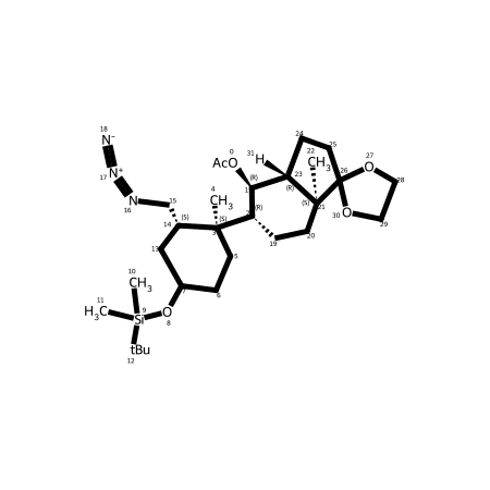 CC(=O)O[C@@H]1[C@@H]([C@@]2(C)CCC(O[Si](C)(C)C(C)(C)C)C[C@@H]2CN=[N+]=[N-])CC[C@@]2(C)[C@H]1CCC21OCCO1